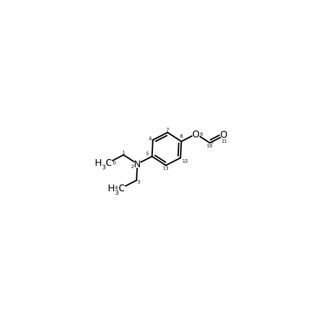 CCN(CC)c1ccc(O[C]=O)cc1